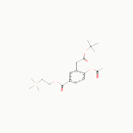 CC(=O)Oc1ccc(C(=O)OCCS(C)(C)C)cc1CC(=O)OC(C)(C)C